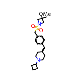 COC1(C)CN(S(=O)(=O)Cc2ccc(C=C3CCN(C4CCC4)CC3)cc2)C1